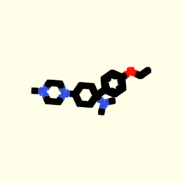 CCOc1ccc(C2(N(C)C)CCC(N3CCN(C)CC3)CC2)cc1